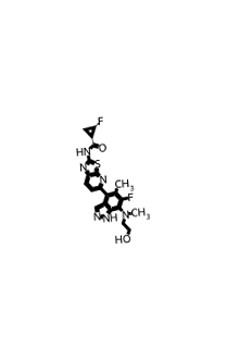 Cc1c(F)c(N(C)CCO)c2[nH]ncc2c1-c1ccc2nc(NC(=O)[C@@H]3C[C@@H]3F)sc2n1